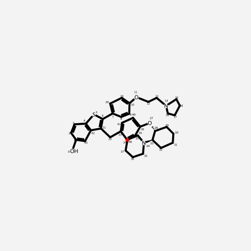 Oc1ccc2sc(-c3ccc(OCCN4CCCC4)cc3)c(Cc3ccc(O[C@@H]4CCCC[C@H]4N4CCCCC4)cc3)c2c1